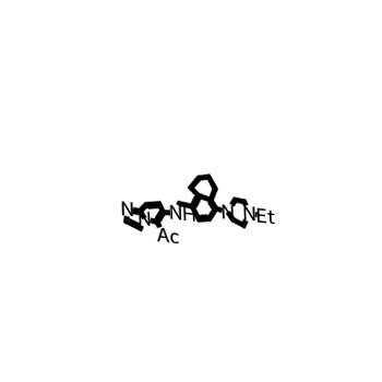 CCN1CCN(c2ccc(CNc3ccc4nccn4c3C(C)=O)c3c2CCCC3)CC1